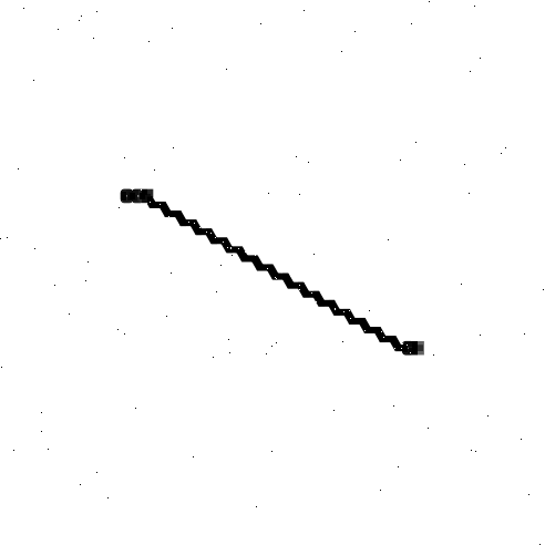 O=C=NCCCCCCCCCCCCCCCCCCCCCCCCCCCCCCCCCO